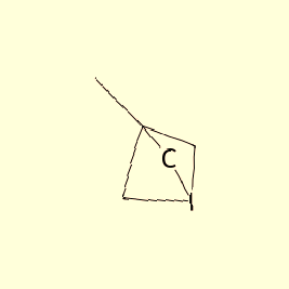 CC12CI(C1)C2